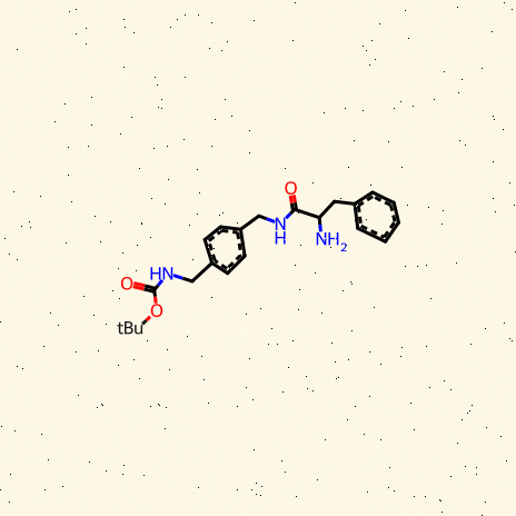 CC(C)(C)OC(=O)NCc1ccc(CNC(=O)C(N)Cc2ccccc2)cc1